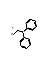 CC(C)CP(c1ccccc1)c1ccccc1.[Pd]